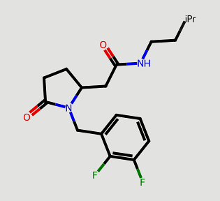 CC(C)CCNC(=O)CC1CCC(=O)N1Cc1cccc(F)c1F